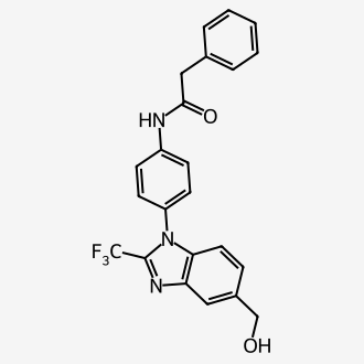 O=C(Cc1ccccc1)Nc1ccc(-n2c(C(F)(F)F)nc3cc(CO)ccc32)cc1